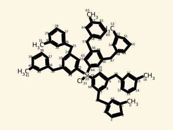 Cc1cccc(Cc2cc(Cc3cccc(C)c3)cc([Si](Cl)(c3cc(Cc4cccc(C)c4)cc(Cc4cccc(C)c4)c3)c3cc(Cc4cccc(C)c4)cc(Cc4cccc(C)c4)c3)c2)c1